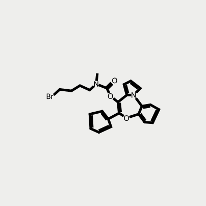 CN(CCCCBr)C(=O)OC1=C(c2ccccc2)Oc2ccccc2-n2cccc21